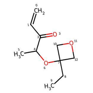 C=CC(=O)C(C)OC1(CC)COC1